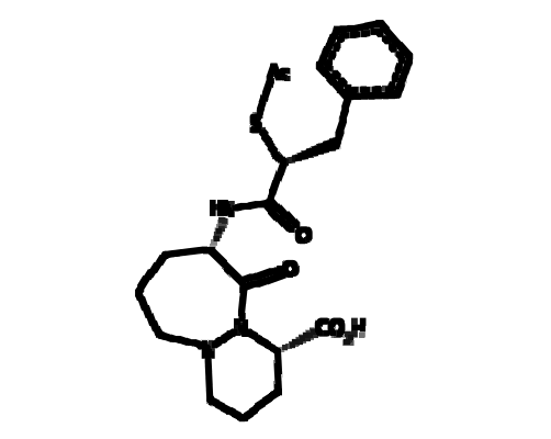 CC(=O)S[C@@H](Cc1ccccc1)C(=O)N[C@H]1CCCN2CCC[C@@H](C(=O)O)N2C1=O